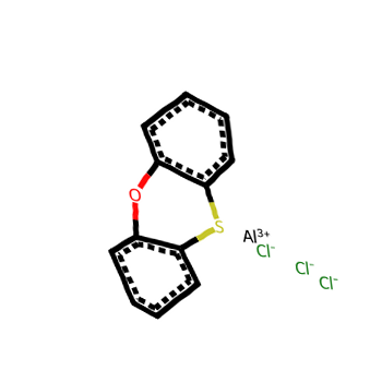 [Al+3].[Cl-].[Cl-].[Cl-].c1ccc2c(c1)Oc1ccccc1S2